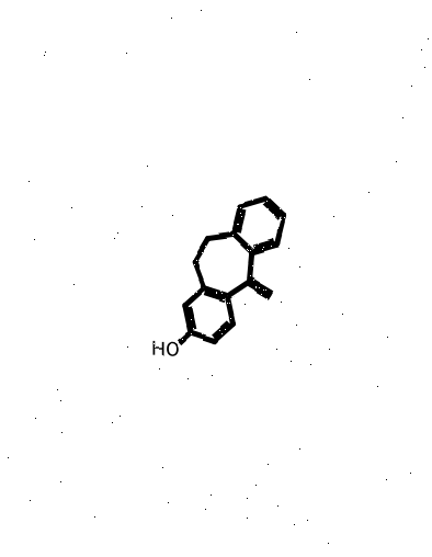 C=C1c2ccccc2CCc2cc(O)ccc21